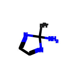 CCCC1(N)N=CC=N1